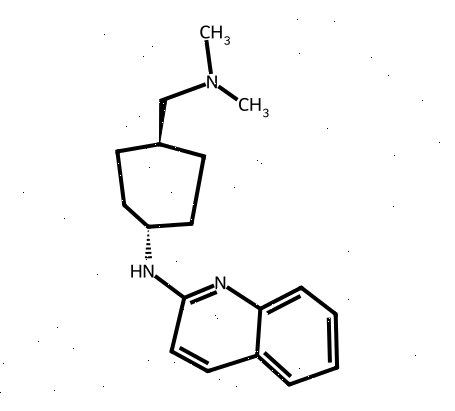 CN(C)C[C@H]1CC[C@H](Nc2ccc3ccccc3n2)CC1